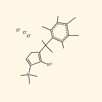 Cc1c(C)c(C)c(C(C)(C)C2=[C]([Ti+3])C([Si](C)(C)C)=CC2)c(C)c1C.[Cl-].[Cl-].[Cl-]